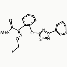 CNC(=O)C(=NOCF)c1ccccc1Oc1nc(-c2ccccc2)ns1